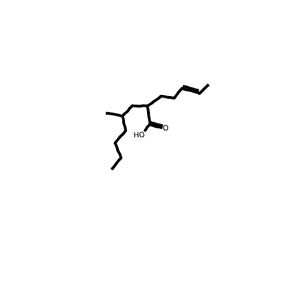 CC=CCCC(CC(C)CCCC)C(=O)O